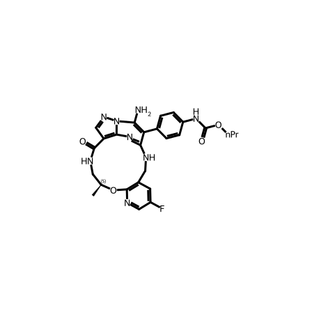 CCCOC(=O)Nc1ccc(-c2c3nc4c(cnn4c2N)C(=O)NC[C@H](C)Oc2ncc(F)cc2CN3)cc1